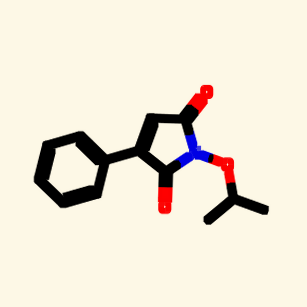 CC(C)ON1C(=O)C=C(c2ccccc2)C1=O